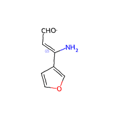 N/C(=C\[C]=O)c1ccoc1